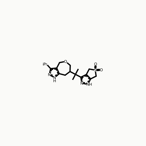 CC(C)c1n[nH]c2c1COCC(C(C)(C)c1n[nH]c3c1CS(=O)(=O)C3)C2